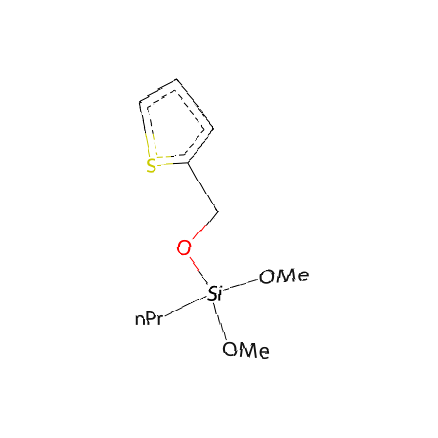 CCC[Si](OC)(OC)OCc1cccs1